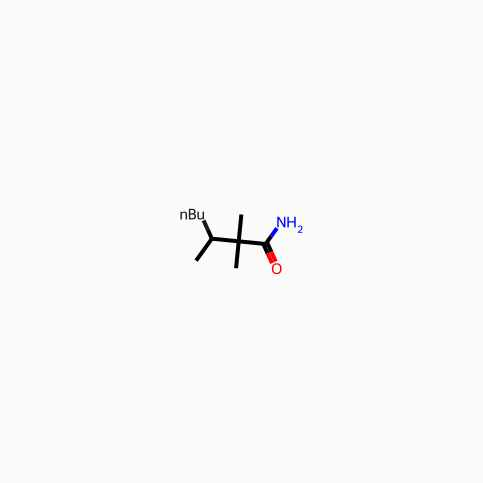 CCCCC(C)C(C)(C)C(N)=O